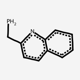 PCc1ccc2ccccc2n1